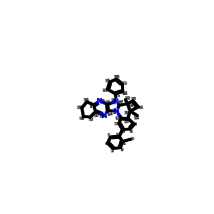 Cc1ccccc1-c1ccc2c(c1)N1c3nc4c(nc3N(c3ccccc3)C1C1(C)C=CC21C)CCCC4